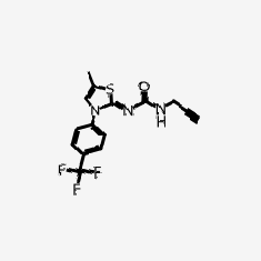 C#CCNC(=O)/N=c1\sc(C)cn1-c1ccc(C(F)(F)F)cc1